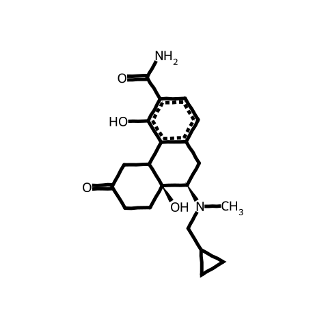 CN(CC1CC1)[C@@H]1Cc2ccc(C(N)=O)c(O)c2C2CC(=O)CC[C@]21O